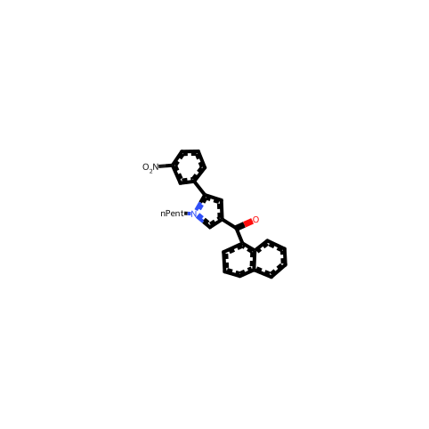 CCCCCn1cc(C(=O)c2cccc3ccccc23)cc1-c1cccc([N+](=O)[O-])c1